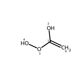 C=C(O)OO